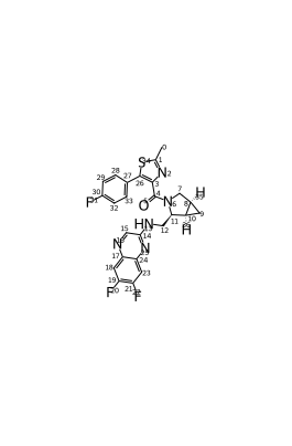 Cc1nc(C(=O)N2C[C@H]3C[C@H]3[C@H]2CNc2cnc3cc(F)c(F)cc3n2)c(-c2ccc(F)cc2)s1